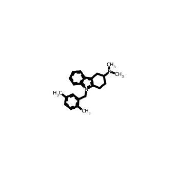 Cc1ccc(C)c(Cn2c3c(c4ccccc42)CC(N(C)C)CC3)c1